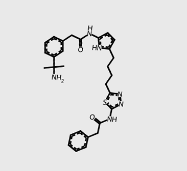 CC(C)(N)c1cccc(CC(=O)Nc2ccc(CCCCc3nnc(NC(=O)Cc4ccccc4)s3)[nH]2)c1